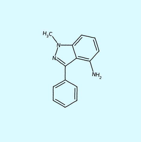 Cn1nc(-c2ccccc2)c2c(N)cccc21